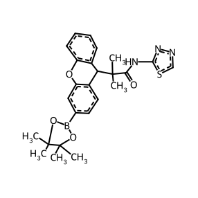 CC(C)(C(=O)Nc1nncs1)C1c2ccccc2Oc2cc(B3OC(C)(C)C(C)(C)O3)ccc21